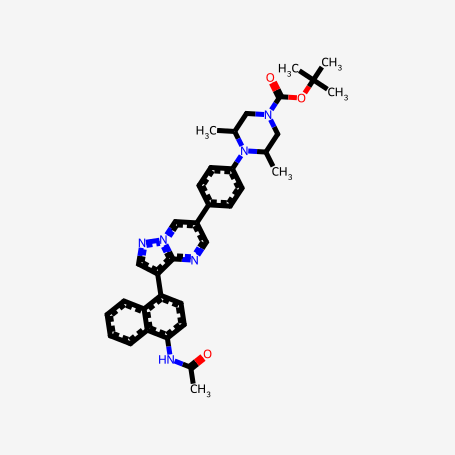 CC(=O)Nc1ccc(-c2cnn3cc(-c4ccc(N5C(C)CN(C(=O)OC(C)(C)C)CC5C)cc4)cnc23)c2ccccc12